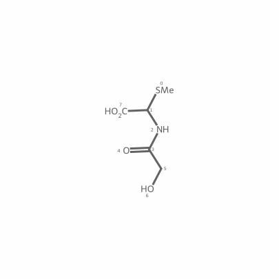 CSC(NC(=O)CO)C(=O)O